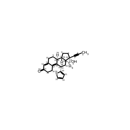 CC#C[C@]1(O)CC[C@H]2[C@@H]3CCC4=CC(=O)CCC4=C3[C@@H](c3cccs3)C[C@@]21C